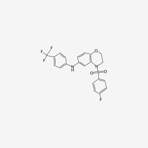 O=S(=O)(c1ccc(F)cc1)N1CCOc2ccc(Nc3ccc(C(F)(F)F)cc3)cc21